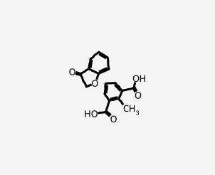 Cc1c(C(=O)O)cccc1C(=O)O.O=C1COc2ccccc21